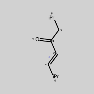 CC(C)/C=C/C(=O)CC(C)C